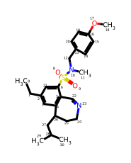 CCc1cc2c(c(S(=O)(=O)N(C)Cc3ccc(OC)cc3)c1)C=NCCC2CC(C)C